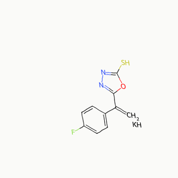 C=C(c1ccc(F)cc1)c1nnc(S)o1.[KH]